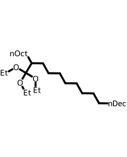 CCCCCCCCCCCCCCCCCCC(CCCCCCCC)C(OCC)(OCC)OCC